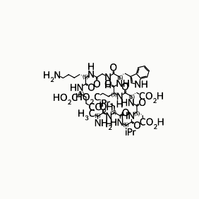 CC(C)C[C@H](NC(=O)[C@H](C)N)C(=O)N[C@H](C(=O)N[C@@H](CC(=O)O)C(=O)N[C@@H](CC(=O)O)C(=O)N[C@@H](CCC(=O)O)C(=O)N[C@@H](Cc1c[nH]c2ccccc12)C(=O)NCC(=O)N[C@@H](CCCCN)C(=O)N[C@@H](CCC(=O)O)C(=O)O)C(C)C